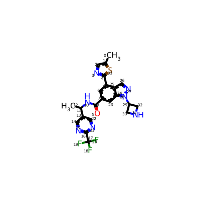 Cc1cnc(-c2cc(C(=O)NC(C)c3cnc(C(F)(F)F)nc3)cc3c2cnn3C2CNC2)s1